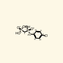 O=P(O)(O)CP(=O)(O)Oc1ccc(Cl)cc1